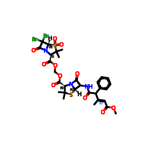 COC(=O)/C=C(\C)C(C(=O)NC1C(=O)N2[C@@H]1SC(C)(C)[C@@H]2C(=O)OCOC(=O)[C@@H]1N2C(=O)C(Br)(Br)[C@H]2S(=O)(=O)C1(C)C)c1ccccc1